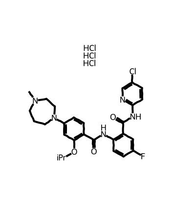 CC(C)Oc1cc(N2CCCN(C)CC2)ccc1C(=O)Nc1ccc(F)cc1C(=O)Nc1ccc(Cl)cn1.Cl.Cl.Cl